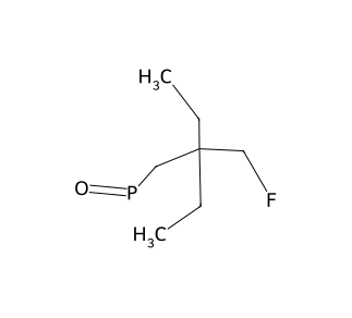 CCC(CC)(CF)CP=O